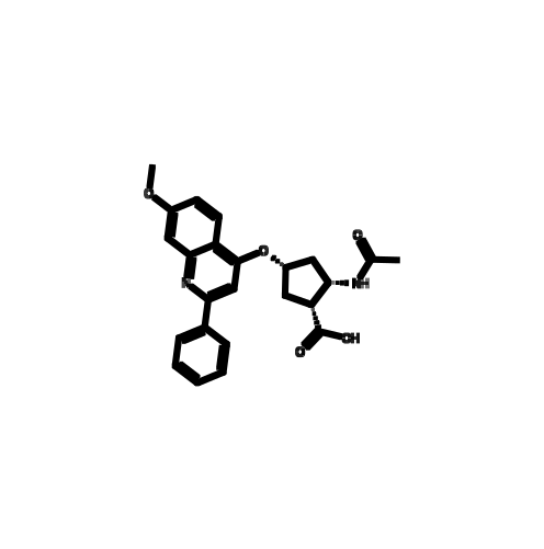 COc1ccc2c(O[C@@H]3C[C@H](NC(C)=O)[C@H](C(=O)O)C3)cc(-c3ccccc3)nc2c1